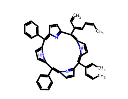 C=C/C(=C\C=C/C)c1c2nc(c(-c3ccccc3)c3ccc([nH]3)c(-c3ccccc3)c3nc(c(C(/C=C\C)=C/C)c4ccc1[nH]4)C=C3)C=C2